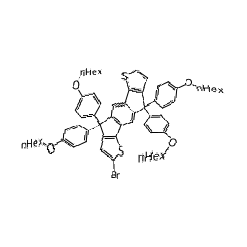 CCCCCCOc1ccc(C2(c3ccc(OCCCCCC)cc3)c3cc4c(cc3-c3sccc32)C(c2ccc(OCCCCCC)cc2)(c2ccc(OCCCCCC)cc2)c2cc(Br)sc2-4)cc1